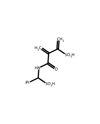 C=C(C(=C)S(=O)(=O)O)C(=O)NC(C(C)C)S(=O)(=O)O